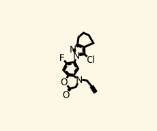 C#CCN1CC(=O)Oc2cc(F)c(-n3nc4c(c3Cl)CCCC4)cc21